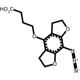 [N-]=[N+]=Nc1c2c(c(OCCCC(=O)O)c3c1OCC3)CCO2